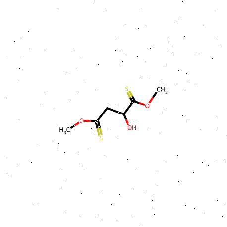 COC(=S)CC(O)C(=S)OC